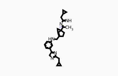 C/C(=N\C(=N)CC1CC1)C12CCC(CNc3cccc(C4=NC(CC5CC5)=NC4)c3)=C1C2